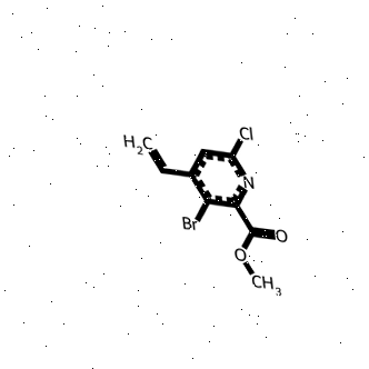 C=Cc1cc(Cl)nc(C(=O)OC)c1Br